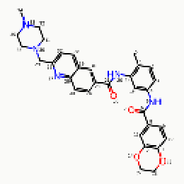 Cc1ccc(NC(=O)c2ccc3c(c2)OCCO3)cc1NC(=O)c1ccc2nc(CN3CCN(C)CC3)ccc2c1